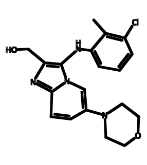 Cc1c(Cl)cccc1Nc1c(CO)nc2ccc(N3CCOCC3)cn12